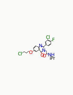 CC(C)NC(=O)Cn1c(-c2ccc(F)c(Cl)c2)nc2ccc(OCCCCl)cc2c1=O